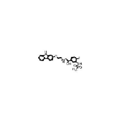 CS(=O)(=O)Nc1cc(C(O)C[AsH]CCOc2ccc3c(c2)[nH]c2ccccc23)ccc1F